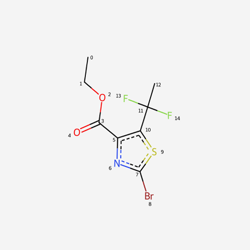 CCOC(=O)c1nc(Br)sc1C(C)(F)F